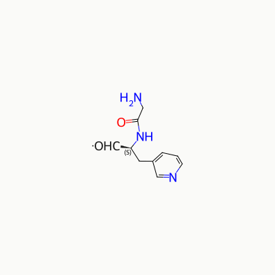 NCC(=O)N[C@H]([C]=O)Cc1cccnc1